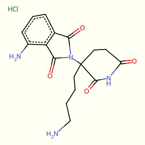 Cl.NCCCCC1(N2C(=O)c3cccc(N)c3C2=O)CCC(=O)NC1=O